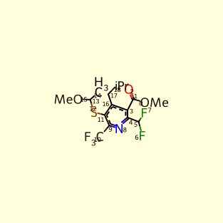 COC(=O)c1c(C(F)F)nc(C(F)(F)F)c(SC(C)OC)c1CC(C)C